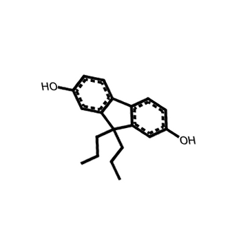 CCCC1(CCC)c2cc(O)ccc2-c2ccc(O)cc21